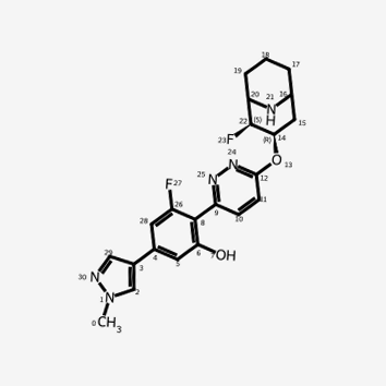 Cn1cc(-c2cc(O)c(-c3ccc(O[C@@H]4CC5CCCC(N5)[C@@H]4F)nn3)c(F)c2)cn1